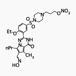 CCCc1c(C=NO)c(C)c2c(=O)[nH]c(-c3cc(S(=O)(=O)N4CCN(CCCO[N+](=O)[O-])CC4)ccc3OCC)nn12